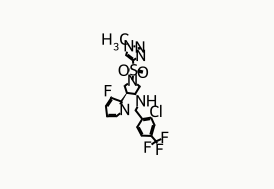 Cn1cc(S(=O)(=O)N2C[C@H](NCc3ccc(C(F)(F)F)cc3Cl)[C@@H](c3ncccc3F)C2)nn1